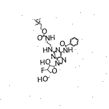 C[Si](C)(C)CCOC(=O)NCCNc1nc(NC(=O)c2ccccc2)c2ncn([C@@H]3O[C@H](CO)[C@@H](F)[C@H]3O)c2n1